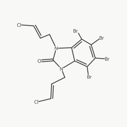 O=c1n(CC=CCl)c2c(Br)c(Br)c(Br)c(Br)c2n1CC=CCl